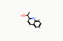 CC(O)c1ccc2c[c]ccc2n1